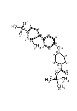 Cc1nc(S(C)(=O)=O)ccc1-c1ccc(OC2CCN(C(=O)OC(C)(C)C)CC2)cc1